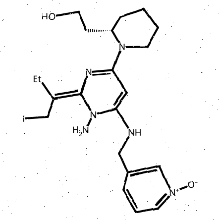 CC/C(CI)=C1\N=C(N2CCCC[C@H]2CCO)C=C(NCc2ccc[n+]([O-])c2)N1N